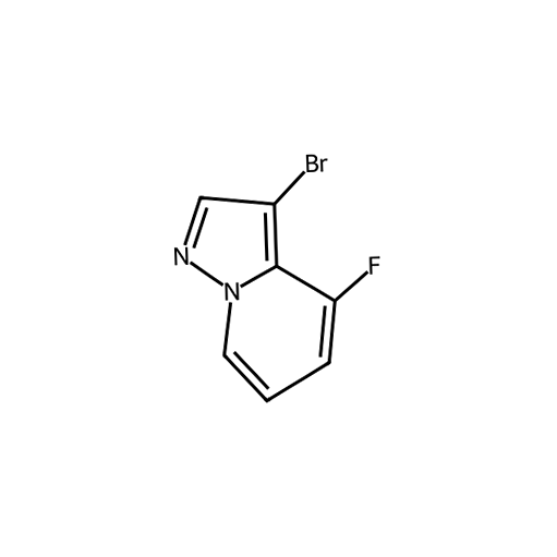 Fc1cccn2ncc(Br)c12